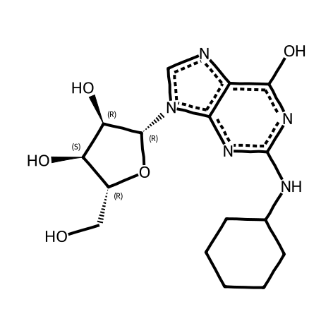 OC[C@H]1O[C@@H](n2cnc3c(O)nc(NC4CCCCC4)nc32)[C@H](O)[C@@H]1O